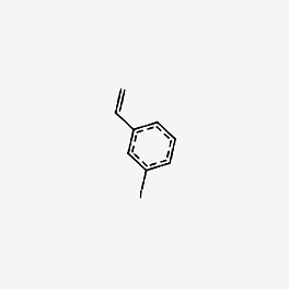 C=Cc1cccc(I)c1